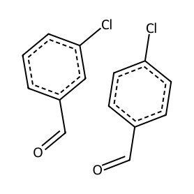 O=Cc1ccc(Cl)cc1.O=Cc1cccc(Cl)c1